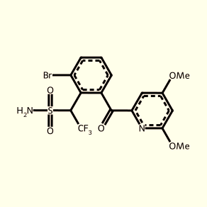 COc1cc(OC)nc(C(=O)c2cccc(Br)c2C(C(F)(F)F)S(N)(=O)=O)c1